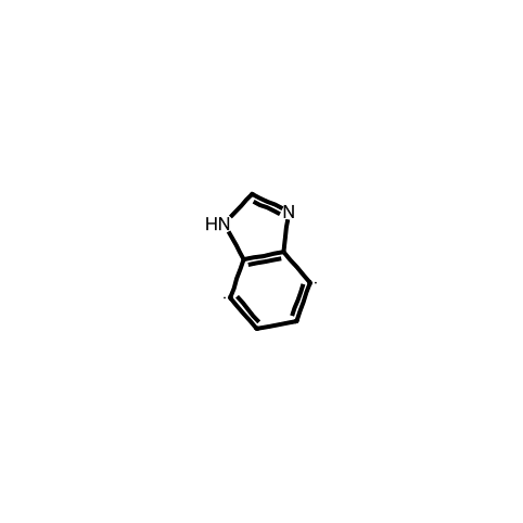 [c]1cc[c]c2[nH]cnc12